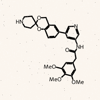 COc1cc(CC(=O)Nc2cncc(-c3ccc4c(c3)COC3(CCNCC3)O4)c2)cc(OC)c1OC